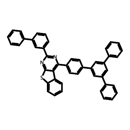 c1ccc(-c2cc(-c3ccccc3)cc(-c3ccc(-c4nc(-c5cccc(-c6ccccc6)c5)nc5sc6ccccc6c45)cc3)c2)cc1